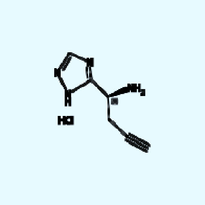 C#CC[C@H](N)c1ncn[nH]1.Cl